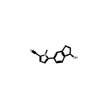 Cn1c(C#N)ccc1-c1ccc2c(c1)CCC2O